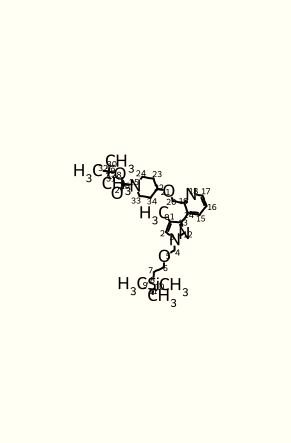 Cc1cn(COCC[Si](C)(C)C)nc1-c1cccnc1COC1CCN(C(=O)OC(C)(C)C)CC1